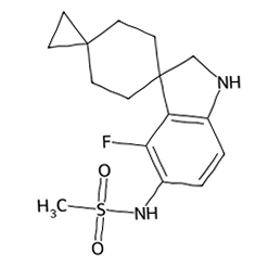 CS(=O)(=O)Nc1ccc2c(c1F)C1(CCC3(CC3)CC1)CN2